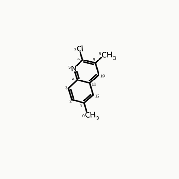 Cc1ccc2nc(Cl)c(C)cc2c1